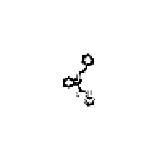 O=C(Nc1nccs1)c1cn(CCc2ccccc2)c2ccccc12